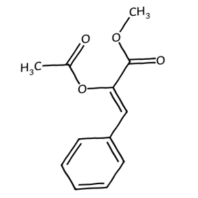 COC(=O)/C(=C/c1ccccc1)OC(C)=O